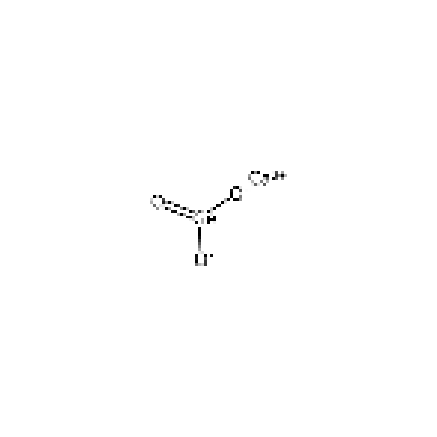 [Ca+2].[O]=[Ge]([O-])[O-]